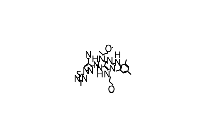 COCC(C)Nc1nc(Nc2c(C)cc(C)cc2C)nc(NCCC=O)c1N=Nc1nn(-c2nc(C)ns2)cc1C#N